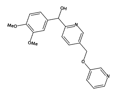 COc1ccc(C(O)c2ccc(COc3cccnc3)cn2)cc1OC